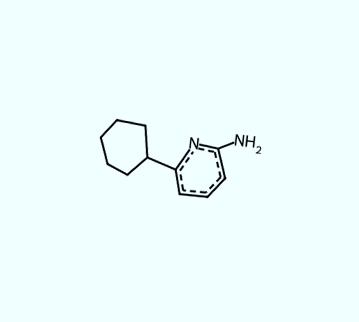 Nc1cccc(C2CCCCC2)n1